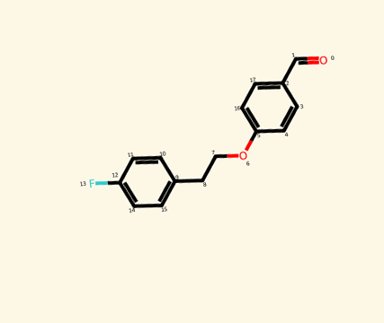 O=Cc1ccc(OCCc2ccc(F)cc2)cc1